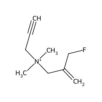 C#CC[N+](C)(C)CC(=C)CF